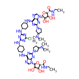 CCNC(=O)[C@H]1O[C@@H](n2cnc3c(N[C@H]4CC[C@H](Nc5nc(Cl)nc(N[C@H]6CC[C@H](Nc7nc(N8CC[C@@H](N(C)C)C8)nc8c7ncn8[C@@H]7O[C@H](C(=O)NCC)[C@@H](O)[C@H]7O)CC6)n5)CC4)nc(N4CC[C@@H](N(C)C)C4)nc32)[C@H](O)[C@@H]1O